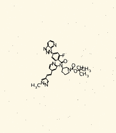 Cn1cc(/C=C/c2ccnc(N(C(=O)c3ccc(-n4nnc5cccnc54)cc3F)[C@@H]3CCCN(C(=O)OC(C)(C)C)C3)c2)cn1